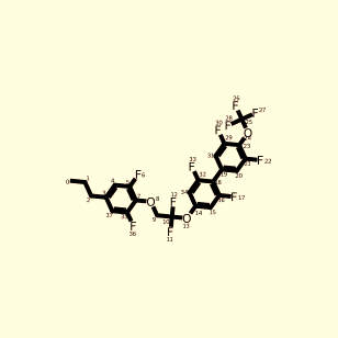 CCCc1cc(F)c(OCC(F)(F)Oc2cc(F)c(-c3cc(F)c(OC(F)(F)F)c(F)c3)c(F)c2)c(F)c1